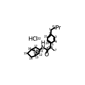 CC(C)Cc1ccc([C@@H](C)C(=O)NC2CC3CCC(C2)N3C)cc1.Cl